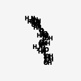 NC(=O)[C@H](CCC(=O)NCC[C@@H](O)C[C@H](O)CO)NC(=O)CC[C@@H](NC(=O)c1ccc(NCc2cnc3nc(N)[nH]c(=O)c3n2)cc1)C(=O)O